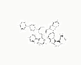 C1=C(c2ccc3ccccc3c2)CC=C(c2ccc(-c3ccccc3)cc2)N=C1c1c(-c2cccc3c2oc2ccc4ccccc4c23)ccc2oc3ccccc3c12